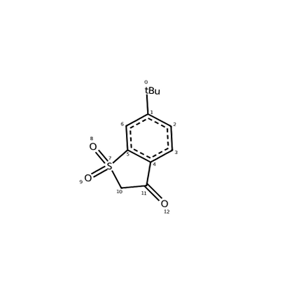 CC(C)(C)c1ccc2c(c1)S(=O)(=O)CC2=O